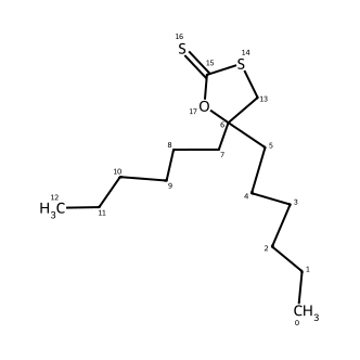 CCCCCCC1(CCCCCC)CSC(=S)O1